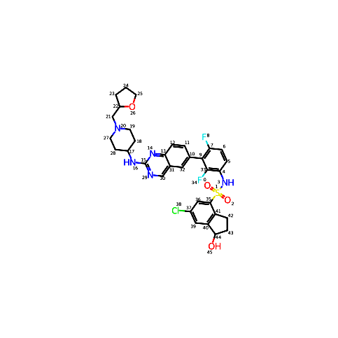 O=S(=O)(Nc1ccc(F)c(-c2ccc3nc(NC4CCN(CC5CCCO5)CC4)ncc3c2)c1F)c1cc(Cl)cc2c1CCC2O